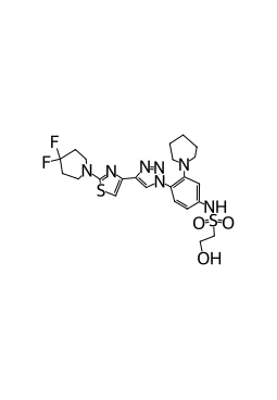 O=S(=O)(CCO)Nc1ccc(-n2cc(-c3csc(N4CCC(F)(F)CC4)n3)nn2)c(N2CCCCC2)c1